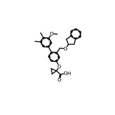 COc1cc(-c2ccc(OC3(C(=O)O)CC3)cc2COC2Cc3ccccc3C2)cc(C)c1C